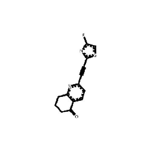 O=C1CCCc2nc(C#Cc3nc(F)cs3)ccc21